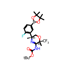 CC(C)(C)OC(=O)NC1=N[C@](C)(c2cc(B3OC(C)(C)C(C)(C)O3)ccc2F)CO[C@@]1(C)C(F)(F)F